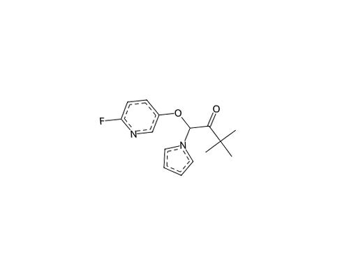 CC(C)(C)C(=O)C(Oc1ccc(F)nc1)n1cccc1